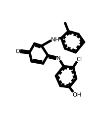 Cc1ccccc1NC1=CC(=O)C=CC1=Nc1ccc(O)cc1Cl